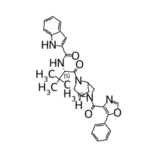 CC(C)(C)[C@H](NC(=O)c1cc2ccccc2[nH]1)C(=O)N1C[C@@H]2CC1CN2C(=O)c1ncoc1-c1ccccc1